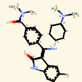 CC(=O)c1ccc2c(c1)C(=C(N[C@H]1CC[C@H](N(C)C)CC1)c1ccc(C(=O)N(C)C(=O)O)cc1)C(=O)N2